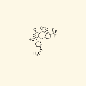 COc1ccc(C2(O)OC(=O)C(C3=COCO3)=C2Cc2ccc(C(F)(F)F)cc2)cc1